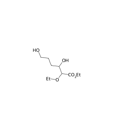 CCOC(=O)C(OCC)C(O)CCCO